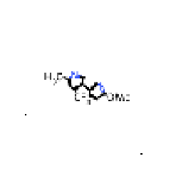 COc1ccc(-c2cnc(C)cc2C(F)(F)F)cn1